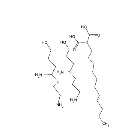 CCCCCCCCCCCC(C(=O)O)C(=O)O.NCCCC(N)CCCO.NCCCC(N)CCCO